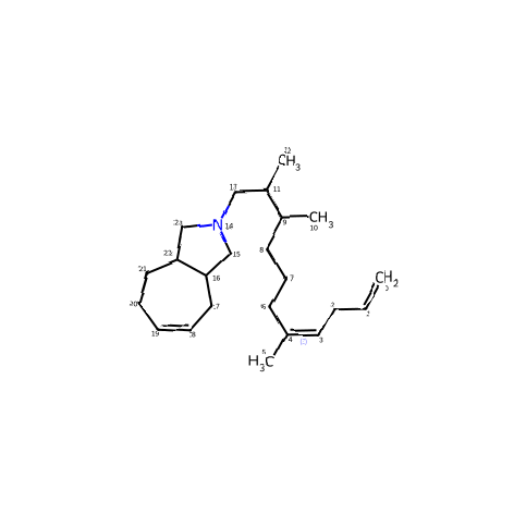 C=CC/C=C(/C)CCCC(C)C(C)CN1CC2CC=CCCC2C1